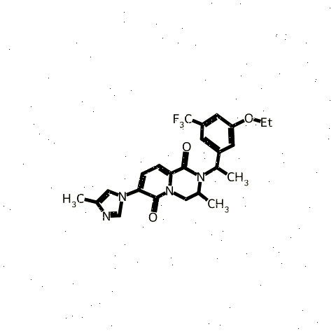 CCOc1cc(C(C)N2C(=O)c3ccc(-n4cnc(C)c4)c(=O)n3CC2C)cc(C(F)(F)F)c1